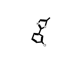 Cc1[c]nc(-c2cccc(Cl)c2)o1